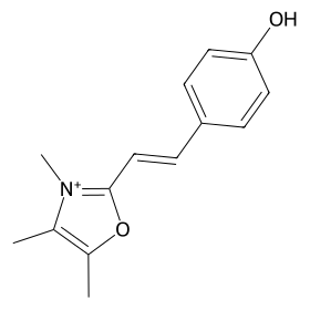 Cc1oc(C=Cc2ccc(O)cc2)[n+](C)c1C